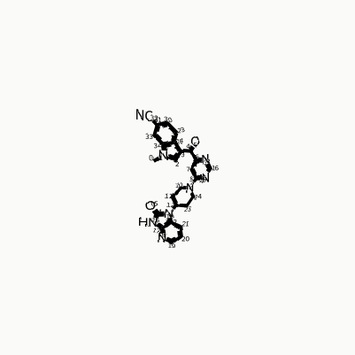 Cn1cc(C(=O)c2cc(N3CCC(n4c(=O)[nH]c5ncccc54)CC3)ncn2)c2ccc(C#N)cc21